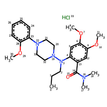 CCCN(c1cc(OC)c(OC)cc1C(=O)N(C)C)N1CCN(c2ccccc2OC)CC1.Cl